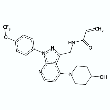 C=CC(=O)NCc1nn(-c2ccc(OC(F)(F)F)cc2)c2nccc(N3CCC(O)CC3)c12